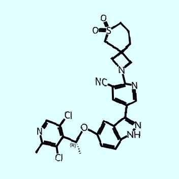 Cc1ncc(Cl)c([C@@H](C)Oc2ccc3[nH]nc(-c4cnc(N5CC6(CCCS(=O)(=O)C6)C5)c(C#N)c4)c3c2)c1Cl